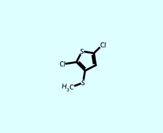 CSc1cc(Cl)sc1Cl